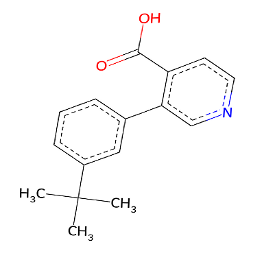 CC(C)(C)c1cccc(-c2cnccc2C(=O)O)c1